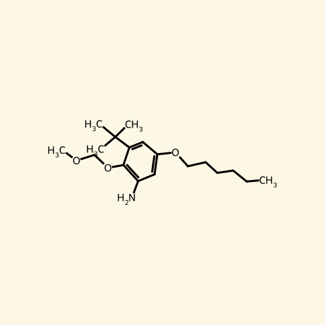 CCCCCCOc1cc(N)c(OCOC)c(C(C)(C)C)c1